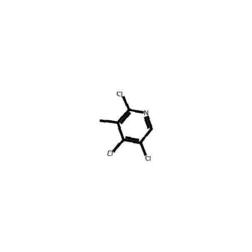 Cc1c(Cl)ncc(Cl)c1Cl